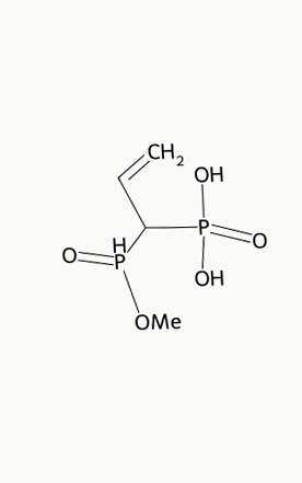 C=CC([PH](=O)OC)P(=O)(O)O